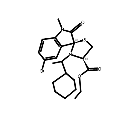 CCOC(=O)[C@@H]1CS[C@@]2(C(=O)N(C)c3ccc(Br)cc32)N1C(C)C1CCCCC1